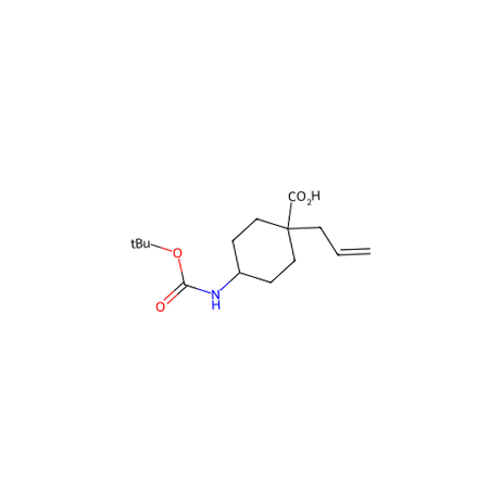 C=CCC1(C(=O)O)CCC(NC(=O)OC(C)(C)C)CC1